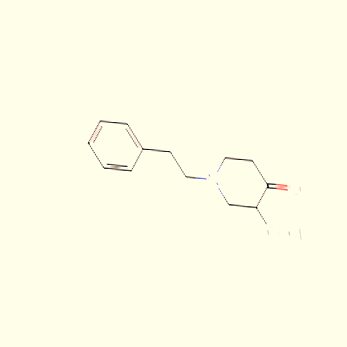 O=C(O)C1CN(CCc2ccccc2)CCC1=O